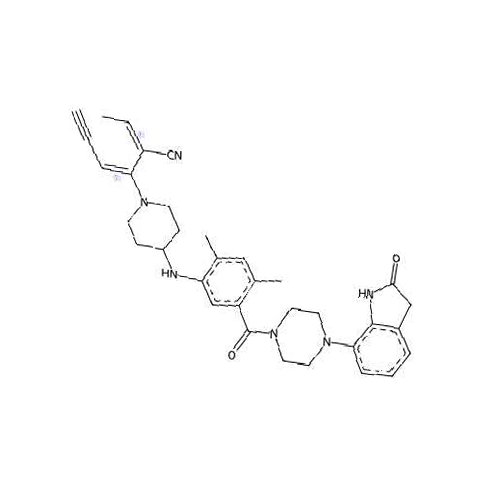 C#C/C=C(\C(C#N)=C/C)N1CCC(Nc2cc(C(=O)N3CCN(c4cccc5c4NC(=O)C5)CC3)c(C)cc2C)CC1